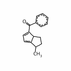 CC1CCC2C(C(=O)c3ccccc3)=CC=C12